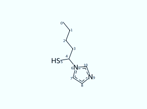 CCCCC(S)n1ccnc1